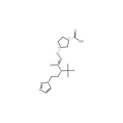 CC(C)(C)N(CCn1ccnn1)/[N+]([O-])=N/O[C@@H]1CC[C@H](C(=O)O)C1